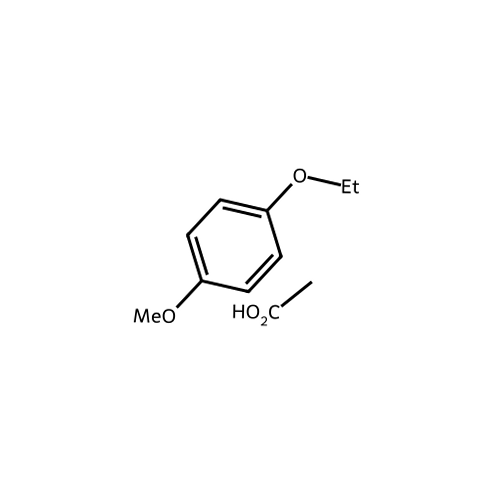 CC(=O)O.CCOc1ccc(OC)cc1